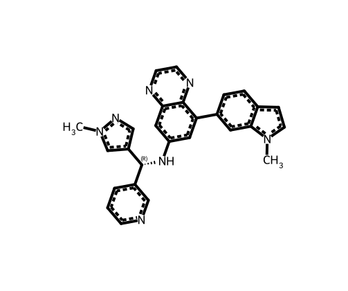 Cn1cc([C@H](Nc2cc(-c3ccc4ccn(C)c4c3)c3nccnc3c2)c2cccnc2)cn1